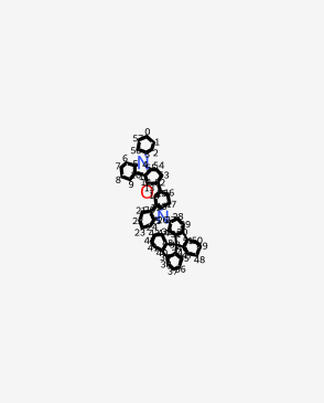 c1ccc(-n2c3ccccc3c3c4oc5c(ccc6c5c5ccccc5n6-c5ccc6c(c5)C5(c7ccccc7-c7ccccc75)c5ccccc5-6)c4ccc32)cc1